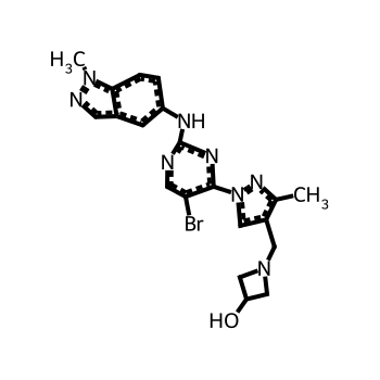 Cc1nn(-c2nc(Nc3ccc4c(cnn4C)c3)ncc2Br)cc1CN1CC(O)C1